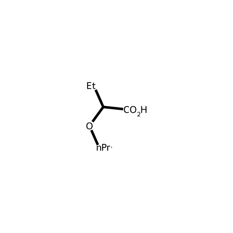 CC[CH]OC(CC)C(=O)O